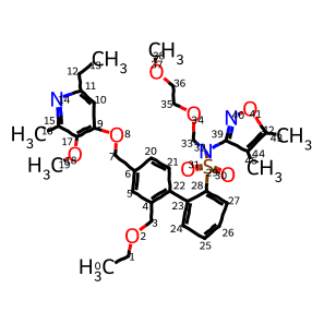 CCOCc1cc(COc2cc(CC)nc(C)c2OC)ccc1-c1ccccc1S(=O)(=O)N(COCCOC)c1noc(C)c1C